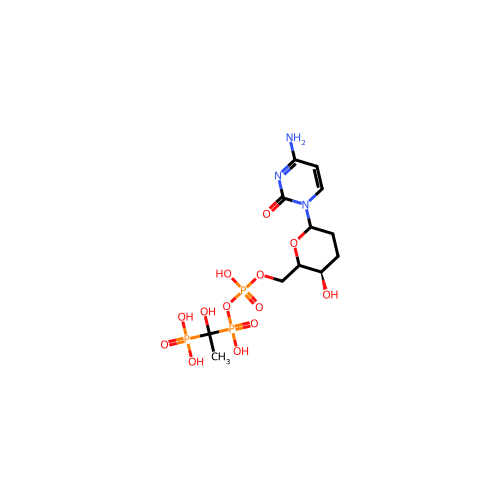 CC(O)(P(=O)(O)O)P(=O)(O)OP(=O)(O)OCC1OC(n2ccc(N)nc2=O)CC[C@H]1O